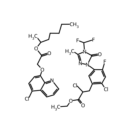 CCCCCC(C)OC(=O)COc1ccc(Cl)c2cccnc12.CCOC(=O)C(Cl)Cc1cc(-n2nc(C)n(C(F)F)c2=O)c(F)cc1Cl